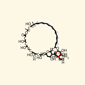 C[C@H]1C[C@H](O)[C@@H](C)/C=C/C=C/C=C/C=C/C=C/C=C/C=C/C(O[C@@H]2OC[C@@H](O)[C@H](N)[C@@H]2O)C[C@@H]2OC(O)(CC(O)CC(O)[C@H](O)CCC(O)CC(O)CC(=O)O1)C[C@H](O)C2C(=O)NC(CO)CO